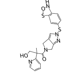 CC(CO)(C(=O)N1Cc2cn(Sc3ccc4c(c3)SON4)nc2C1)c1ccccn1